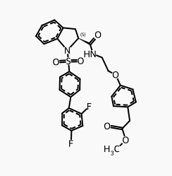 COC(=O)Cc1ccc(OCCNC(=O)[C@@H]2Cc3ccccc3N2S(=O)(=O)c2ccc(-c3ccc(F)cc3F)cc2)cc1